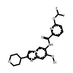 CCOc1cc2nc(C3CCOCC3)cn2cc1NC(=O)c1cccc(OC(F)F)n1